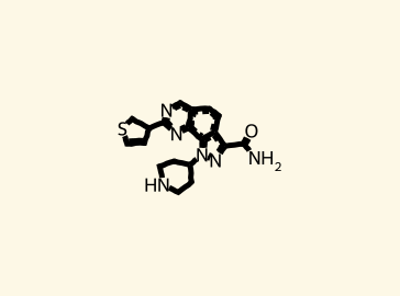 NC(=O)c1nn(C2CCNCC2)c2c1ccc1cnc(C3C=CSC3)nc12